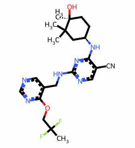 CC(F)(F)COc1ncncc1CNc1ncc(C#N)c(N[C@@H]2CC[C@](C)(O)C(C)(C)C2)n1